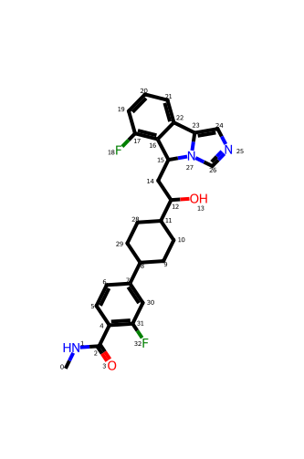 CNC(=O)c1ccc(C2CCC(C(O)CC3c4c(F)cccc4-c4cncn43)CC2)cc1F